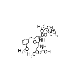 COCC(NC(=O)O)C(=O)N[C@@H](CCCc1cccc(OC)c1)B1OC(C)(C)C(C)(C)O1